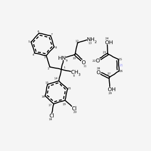 CC(Cc1ccccc1)(NC(=O)CN)c1ccc(Cl)c(Cl)c1.O=C(O)/C=C\C(=O)O